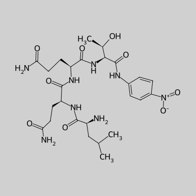 CC(C)C[C@H](N)C(=O)N[C@@H](CCC(N)=O)C(=O)N[C@@H](CCC(N)=O)C(=O)N[C@H](C(=O)Nc1ccc([N+](=O)[O-])cc1)[C@@H](C)O